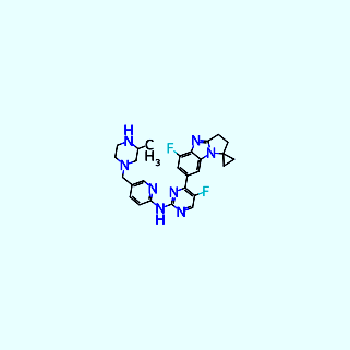 CC1CN(Cc2ccc(Nc3ncc(F)c(-c4cc(F)c5nc6n(c5c4)C4(CC6)CC4)n3)nc2)CCN1